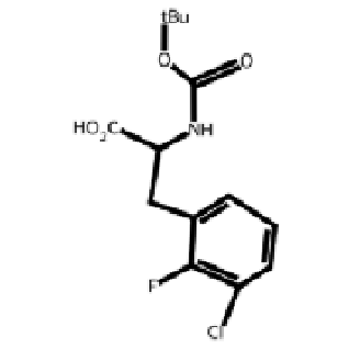 CC(C)(C)OC(=O)NC(Cc1cccc(Cl)c1F)C(=O)O